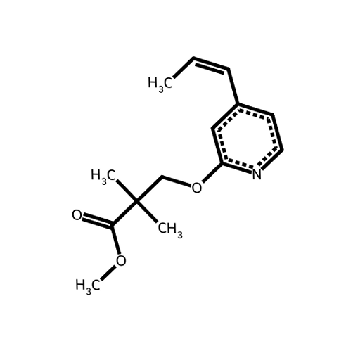 C/C=C\c1ccnc(OCC(C)(C)C(=O)OC)c1